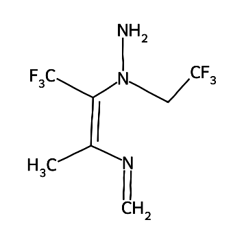 C=N/C(C)=C(\N(N)CC(F)(F)F)C(F)(F)F